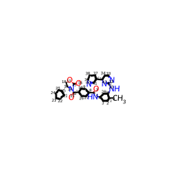 Cc1ccc(NC(=O)c2ccc(C(=O)N3C(=O)OC[C@H]3c3ccccc3)cc2)cc1Nc1nccc(-c2cccnc2)n1